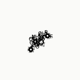 C[C@H]1CC[C@]2(CC(CO)N(Cc3ccc(F)cc3F)O2)[C@H]2CN1C(=O)c1c(OCc3ccccc3)c(=O)c(C(N)=O)cn12